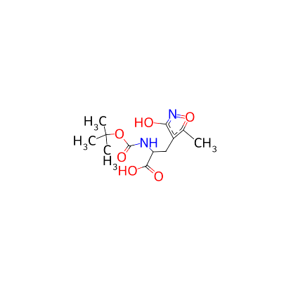 Cc1onc(O)c1CC(NC(=O)OC(C)(C)C)C(=O)O